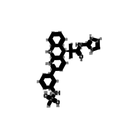 CC(C)(C(=O)Nc1nncs1)[C@H]1c2ccccc2Oc2nc(-c3cccc(NS(C)(=O)=O)c3)ccc21